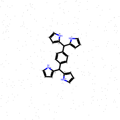 c1c[nH]c(C(c2ccc(C(c3ccc[nH]3)c3ccc[nH]3)cc2)c2ccc[nH]2)c1